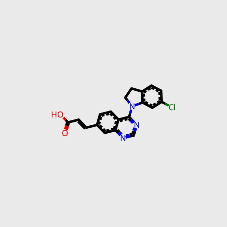 O=C(O)C=Cc1ccc2c(N3CCc4ccc(Cl)cc43)ncnc2c1